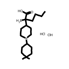 BC(CCCC)(C(=O)O)C1CCN(C2CCC(C)(C)CC2)CC1.Cl.Cl